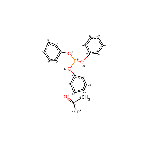 C[C](=O)[Cr+2].c1ccc(OP(Oc2ccccc2)Oc2ccccc2)cc1